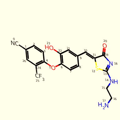 N#Cc1ccc(Oc2ccc(/C=C3\SC(NCCN)=NC3=O)cc2O)c(C(F)(F)F)c1